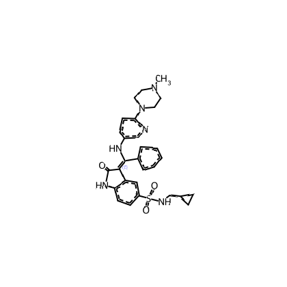 CN1CCN(c2ccc(N/C(=C3\C(=O)Nc4ccc(S(=O)(=O)NCC5CC5)cc43)c3ccccc3)cn2)CC1